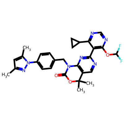 Cc1cc(C)n(-c2ccc(CN3C(=O)OC(C)(C)c4cnc(-c5c(OC(F)F)ncnc5C5CC5)nc43)cc2)n1